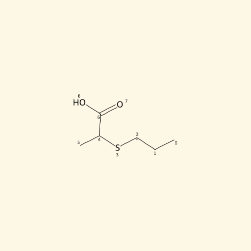 CC[CH]SC(C)C(=O)O